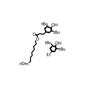 CCCCCCCCCCCCCCCCCCOC(=O)CCc1cc(C(C)(C)C)c(O)c(C(C)(C)C)c1.CCc1cc(C(C)(C)C)c(O)c(C(C)(C)C)c1